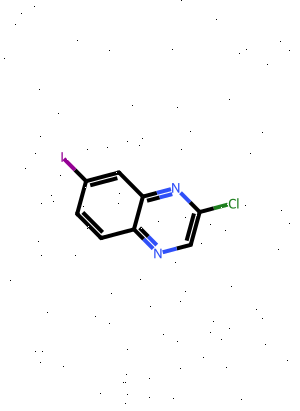 Clc1cnc2ccc(I)cc2n1